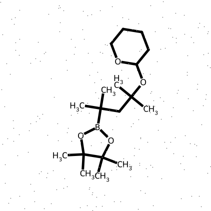 CC(C)(CC(C)(C)B1OC(C)(C)C(C)(C)O1)OC1CCCCO1